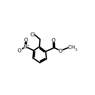 COC(=O)c1cccc([N+](=O)[O-])c1CCl